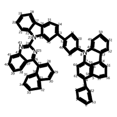 c1ccc(-c2ccc(N(c3ccc(-c4ccc5c6ccccc6n(-c6nc(-c7cccc8ccccc78)c7ccccc7n6)c5c4)cc3)c3ccccc3-c3ccccc3)cc2)cc1